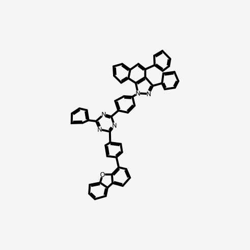 c1ccc(-c2nc(-c3ccc(-c4cccc5c4oc4ccccc45)cc3)nc(-c3ccc(-n4nc(-c5ccccc5)c5c(-c6ccccc6)cc6ccccc6c54)cc3)n2)cc1